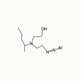 CCCC(C)N(CCO)CCN=[N+]=[N-]